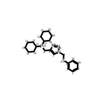 c1ccc(SCn2cc(CP(C3CCCCC3)C3CCCCC3)nn2)cc1